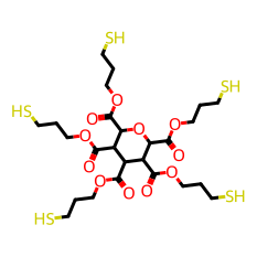 O=C(OCCCS)C1OC(C(=O)OCCCS)C(C(=O)OCCCS)C(C(=O)OCCCS)C1C(=O)OCCCS